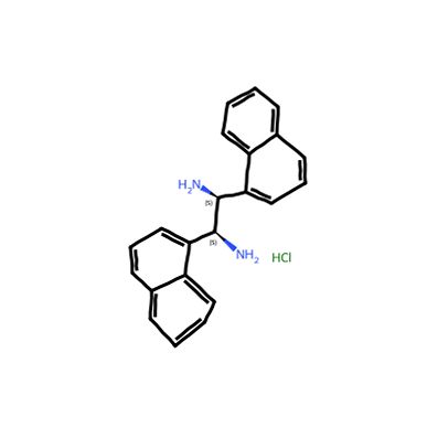 Cl.N[C@@H](c1cccc2ccccc12)[C@@H](N)c1cccc2ccccc12